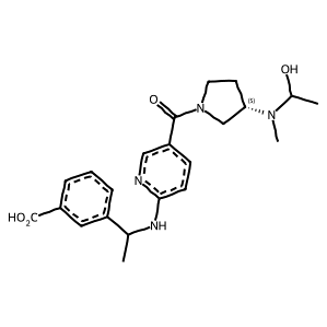 CC(Nc1ccc(C(=O)N2CC[C@H](N(C)C(C)O)C2)cn1)c1cccc(C(=O)O)c1